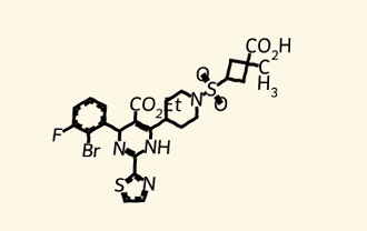 CCOC(=O)C1=C(C2CCN(S(=O)(=O)C3CC(C)(C(=O)O)C3)CC2)NC(c2nccs2)=NC1c1cccc(F)c1Br